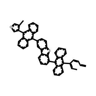 C=C/C=C\C(=C/C)c1c2ccccc2c(-c2cccc3c2sc2ccc(-c4c5ccccc5c(-c5cocc5C)c5ccccc45)cc23)c2ccccc12